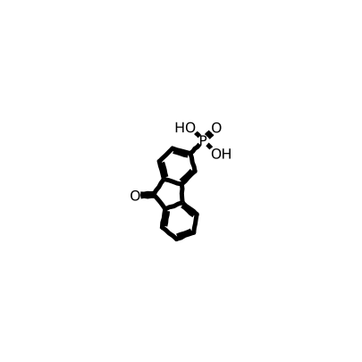 O=C1c2ccccc2-c2cc(P(=O)(O)O)ccc21